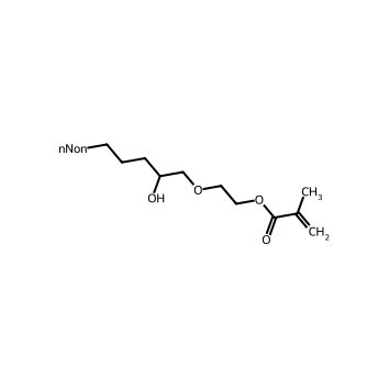 C=C(C)C(=O)OCCOCC(O)CCCCCCCCCCCC